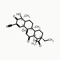 CC[C@@]12CCC3[C@](OC1=O)(C(=O)C=C1[C@@]4(C)C=C(C#N)C(=O)[C@@](C)(O)C4CC[C@]13C)C2C